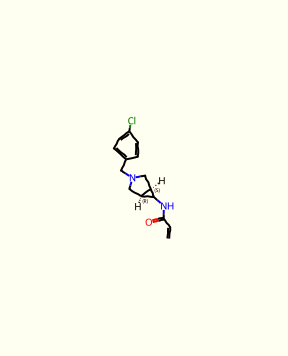 C=CC(=O)NC1[C@H]2CN(Cc3ccc(Cl)cc3)C[C@@H]12